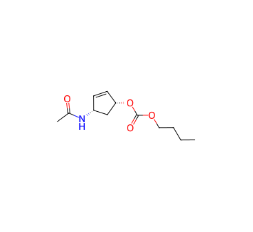 CCCCOC(=O)O[C@H]1C=C[C@@H](NC(C)=O)C1